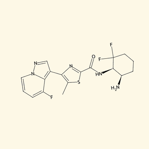 Cc1sc(C(=O)N[C@@H]2[C@H](N)CCCC2(F)F)nc1-c1cnn2cccc(F)c12